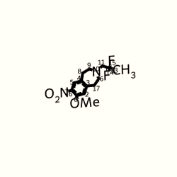 COc1cc2c(cc1[N+](=O)[O-])CCN(CC(C)(F)F)CC2